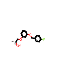 [CH2][C@@H](O)COc1cccc(OCc2ccc(F)cc2)c1